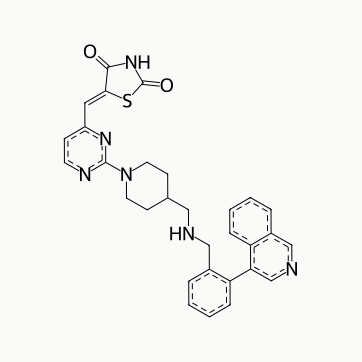 O=C1NC(=O)C(=Cc2ccnc(N3CCC(CNCc4ccccc4-c4cncc5ccccc45)CC3)n2)S1